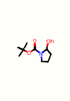 CC(C)(C)OC(=O)N1CCC[C]1O